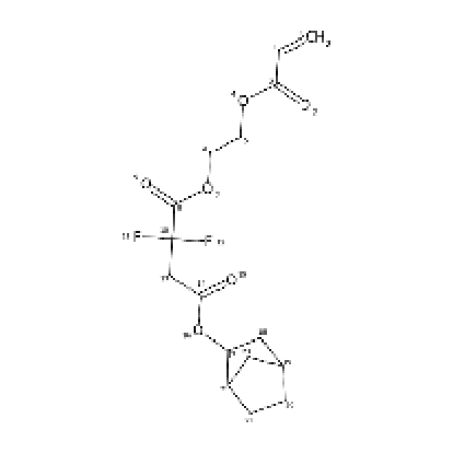 C=CC(=O)OCCOC(=O)C(F)(F)CC(=O)OC1CC2CCC1C2